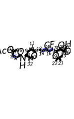 CC(=O)O[C@@H](C)/C=C\C(=O)N[C@@H]1C[C@H](C)[C@H](C/C=C(/C=C/[C@H]2OC(C)(C)C[C@@]3(CO3)[C@@H]2O)C(F)(F)F)O[C@@H]1C